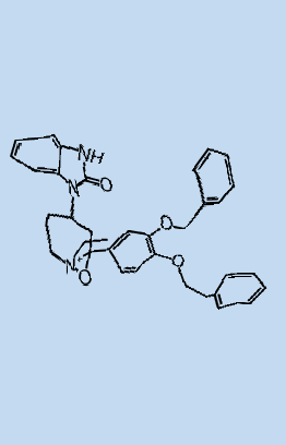 CC[N+]12CCC(n3c(=O)[nH]c4ccccc43)CC1(c1ccc(OCc3ccccc3)c(OCc3ccccc3)c1)O2